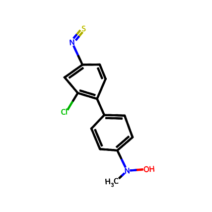 CN(O)c1ccc(-c2ccc(N=S)cc2Cl)cc1